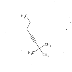 CCCC#CC(C)(C)C